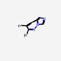 CC(C)c1cc2cncn2nc1C(C)C